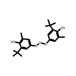 Cc1cc(SOSc2cc(C)c(O)c(C(C)(C)C)c2)cc(C(C)(C)C)c1O